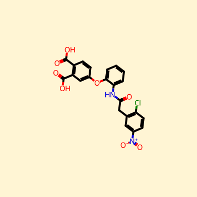 O=C(Cc1cc([N+](=O)[O-])ccc1Cl)Nc1ccccc1Oc1ccc(C(=O)O)c(C(=O)O)c1